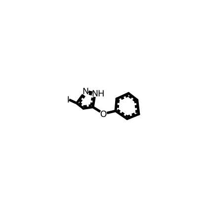 Ic1cc(Oc2ccccc2)[nH]n1